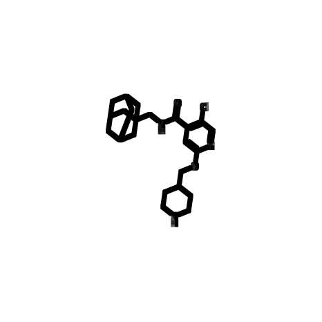 O=C(NCC12CC3CC(CC(C3)C1)C2)c1cc(OCC2CCNCC2)ncc1Cl